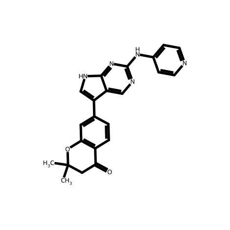 CC1(C)CC(=O)c2ccc(-c3c[nH]c4nc(Nc5ccncc5)ncc34)cc2O1